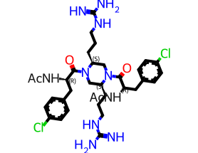 CC(=O)N[C@H](Cc1ccc(Cl)cc1)C(=O)N1C[C@H](CCCNC(=N)N)N(C(=O)[C@@H](Cc2ccc(Cl)cc2)NC(C)=O)C[C@@H]1CCCNC(=N)N